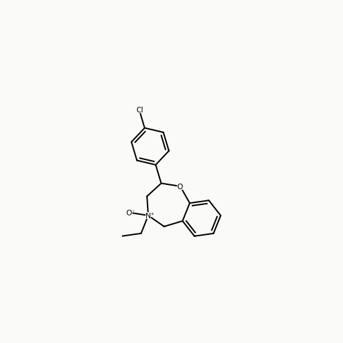 CC[N+]1([O-])Cc2ccccc2OC(c2ccc(Cl)cc2)C1